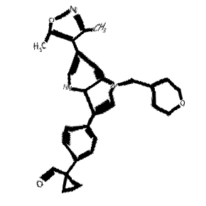 Cc1noc(C)c1C1=CNC2C(c3ccc(C4(C=O)CC4)cc3)=CN(CC3CCOCC3)C2=C1